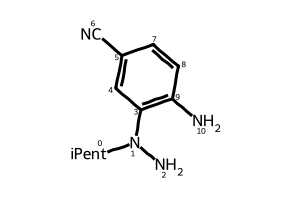 CCCC(C)N(N)c1cc(C#N)ccc1N